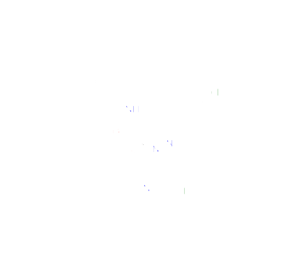 O=C(NCCC(F)(F)F)c1cc(-c2ccc(Cl)cc2)nn(-c2cncc(F)c2)c1=O